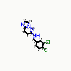 Clc1ccc(CNc2ccc3nccn3n2)cc1Cl